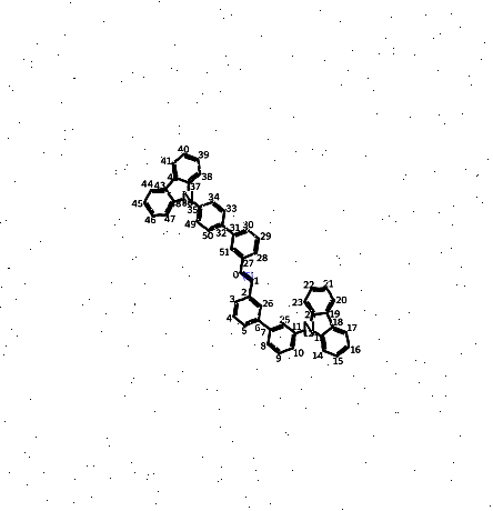 C(=C\c1cccc(-c2cccc(-n3c4ccccc4c4ccccc43)c2)c1)/c1cccc(-c2ccc(-n3c4ccccc4c4ccccc43)cc2)c1